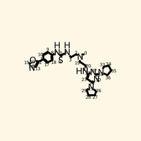 CN(CCNC(=S)Nc1ccc(-c2cnco2)cc1)CCNc1cc(N2CCCC2)nc(N2CCCC2)n1